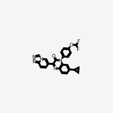 O=c1c(-c2ccc3nncn3c2)nc2ccc(C3CC3)cc2n1-c1ccc(OC(F)F)cc1